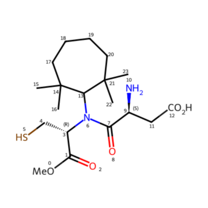 COC(=O)[C@H](CS)N(C(=O)[C@@H](N)CC(=O)O)C1C(C)(C)CCCCC1(C)C